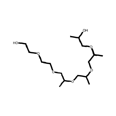 CC(O)COC(C)COC(C)COC(C)COCCOCCO